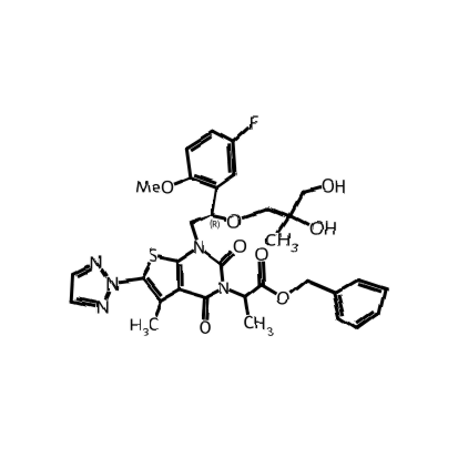 COc1ccc(F)cc1[C@H](Cn1c(=O)n(C(C)C(=O)OCc2ccccc2)c(=O)c2c(C)c(-n3nccn3)sc21)OCC(C)(O)CO